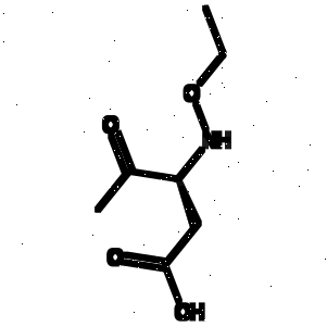 CCON[C@@H](CC(=O)O)C(C)=O